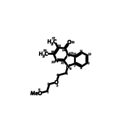 COCCOCCn1c2ccccc2n2c(=O)c(C)c(C)nc12